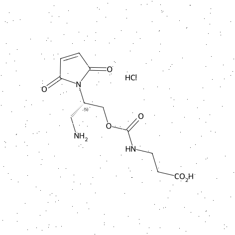 Cl.NC[C@@H](COC(=O)NCCC(=O)O)N1C(=O)C=CC1=O